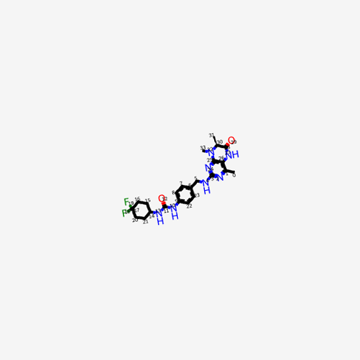 Cc1nc(NCc2ccc(NC(=O)NC3CCC(F)(F)CC3)cc2)nc2c1NC(=O)[C@H](C)N2C